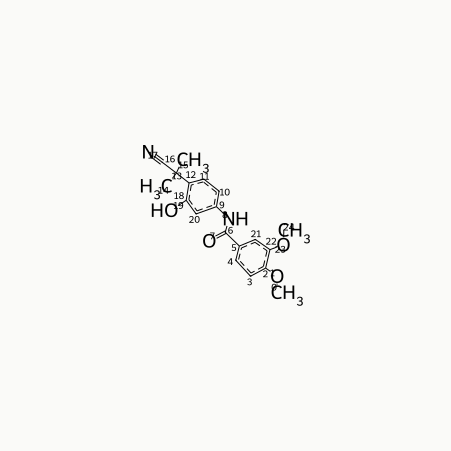 COc1ccc(C(=O)Nc2ccc(C(C)(C)C#N)c(O)c2)cc1OC